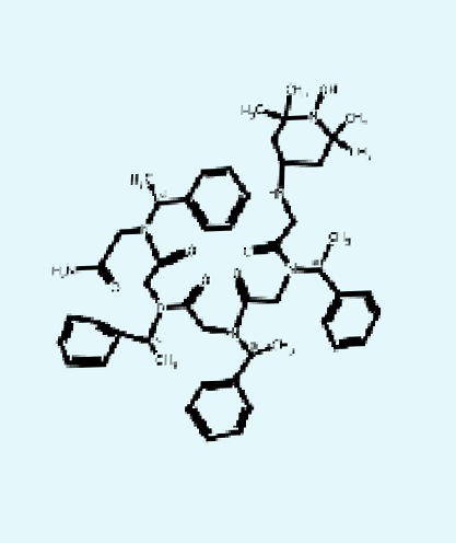 C[C@@H](c1ccccc1)N(CC(N)=O)C(=O)CN(C(=O)CN(C(=O)CN(C(=O)CNC1CC(C)(C)N(O)C(C)(C)C1)[C@@H](C)c1ccccc1)[C@@H](C)c1ccccc1)[C@@H](C)c1ccccc1